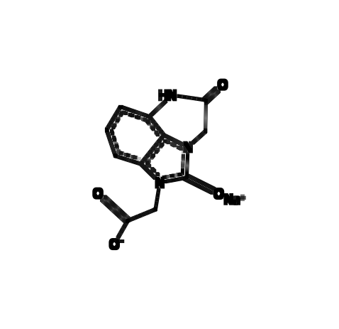 O=C([O-])Cn1c(=O)n2c3c(cccc31)NC(=O)C2.[Na+]